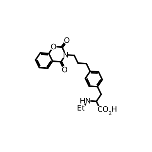 CCNC(Cc1ccc(CCCn2c(=O)oc3ccccc3c2=O)cc1)C(=O)O